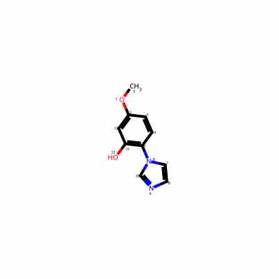 COc1ccc(-n2ccnc2)c(O)c1